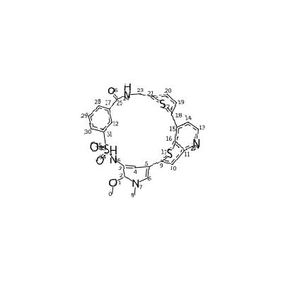 COC1C2=CC(=CN1C)c1cc3nccc(c3s1)-c1ccc(s1)CNC(=O)c1cccc(c1)S(=O)(=O)N2